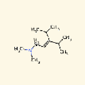 CC(C)C(=C[SiH2]N(C)C)C(C)C